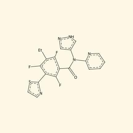 CCc1c(F)c(C(=O)N(c2cn[nH]c2)c2ccccn2)c(F)c(-c2nccs2)c1F